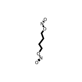 O=NOCCCCON=O